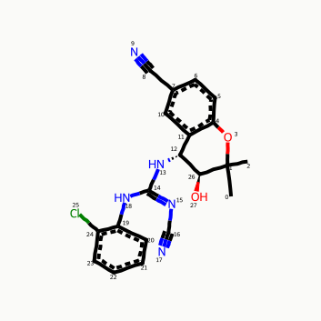 CC1(C)Oc2ccc(C#N)cc2[C@@H](NC(=NC#N)Nc2ccccc2Cl)[C@@H]1O